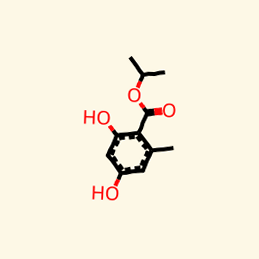 Cc1cc(O)cc(O)c1C(=O)OC(C)C